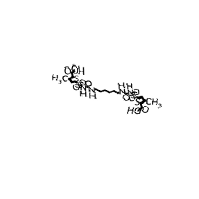 Cc1cc(S(=O)(=O)NC(=O)NCCCCCCNC(=O)NS(=O)(=O)c2cc(C)c(C(=O)O)s2)sc1C(=O)O